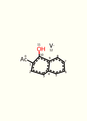 CC(=O)c1ccc2ccccc2c1O.[V]